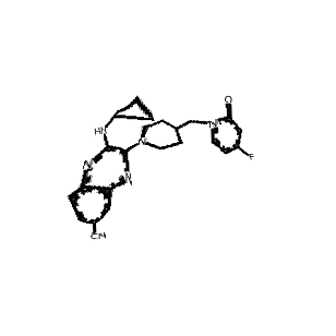 N#Cc1ccc2nc(NC3CC3)c(N3CCC(Cn4ccc(F)cc4=O)CC3)nc2c1